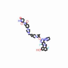 C#Cc1c(F)ccc2cc(O)cc(-c3ncc4c(N5CC6CCC(C5)N6)nc(OCC5(CN6CCC7(CC6)CC(CN6CCN(c8ccc9c(c8)CN([C@H]8CCC(=O)NC8=O)C9=O)CC6)C7)CC5)nc4c3F)c12